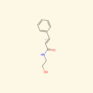 O=C(/C=C/c1ccccc1)NCCO